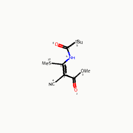 COC(=O)C(C#N)=C(NC(=O)C(C)(C)C)SC